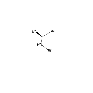 CCN[C@@H](CC)C(C)=O